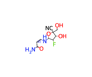 N#CC1(CO)OC(N/C=C\C(N)=O)C(F)C1O